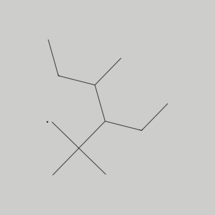 [CH2]C(C)(C)C(CC)C(C)CC